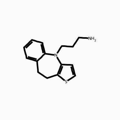 NCCCN1c2ccccc2CCc2sccc21